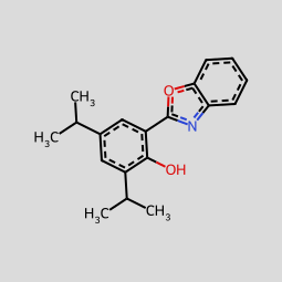 CC(C)c1cc(-c2nc3ccccc3o2)c(O)c(C(C)C)c1